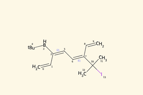 C=C/C(BC(C)(C)C)=C\C=C(/C=C)C(C)(C)I